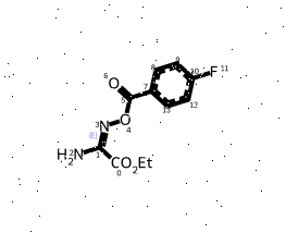 CCOC(=O)/C(N)=N\OC(=O)c1ccc(F)cc1